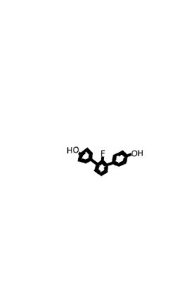 Oc1ccc(-c2cccc(-c3ccc(O)cc3)c2F)cc1